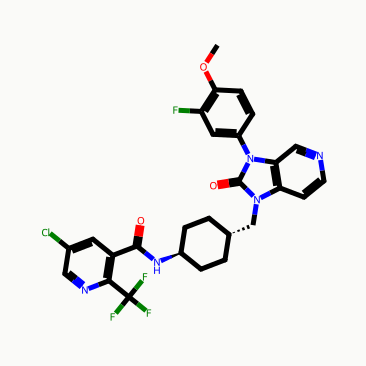 COc1ccc(-n2c(=O)n(C[C@H]3CC[C@H](NC(=O)c4cc(Cl)cnc4C(F)(F)F)CC3)c3ccncc32)cc1F